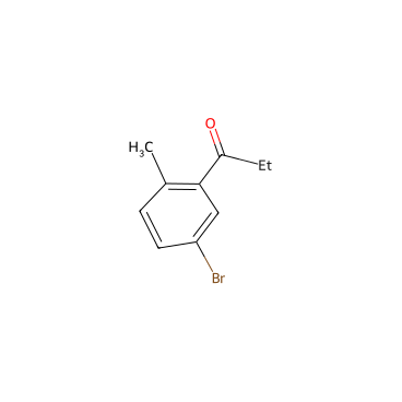 CCC(=O)c1cc(Br)ccc1C